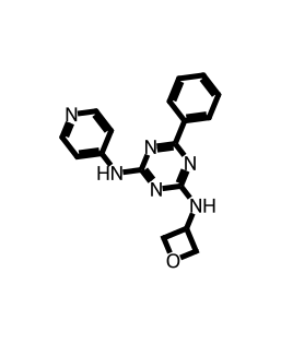 c1ccc(-c2nc(Nc3ccncc3)nc(NC3COC3)n2)cc1